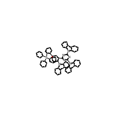 c1ccc(S(c2ccccc2)(c2ccccc2)c2ccccc2-c2ccc(-n3c4ccccc4c4ccccc43)c(-c3nc(-n4c5ccccc5c5ccccc54)nc(-n4c5ccccc5c5ccccc54)n3)c2)cc1